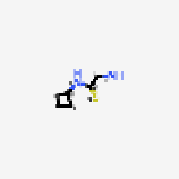 [NH]CC(=S)NC1CCC1